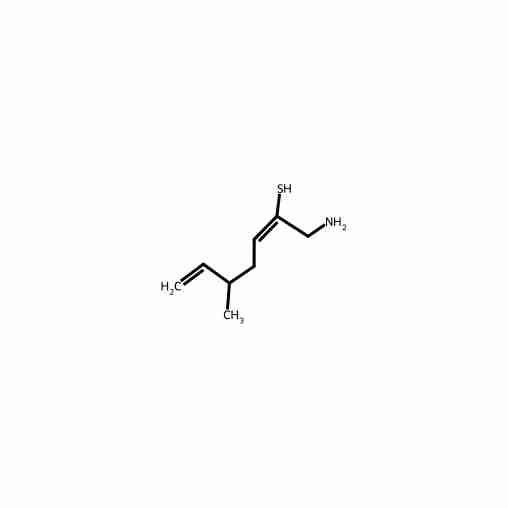 C=CC(C)C/C=C(/S)CN